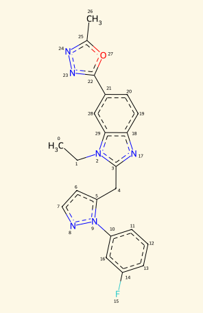 CCn1c(Cc2ccnn2-c2cccc(F)c2)nc2ccc(-c3nnc(C)o3)cc21